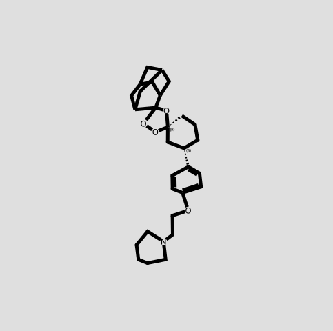 c1cc([C@H]2CCC[C@]3(C2)OOC2(O3)C3CC4CC(C3)CC2C4)ccc1OCCN1CCCCC1